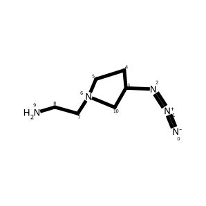 [N-]=[N+]=NC1CCN(CCN)C1